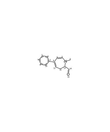 CN1C=CC(c2ccccc2)=CCC1C=O